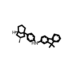 C[C@H]1C[C@@H]2CCCC(c3ccc(Nc4ccc5c(c4)C(C)(C)c4ccccc4-5)cc3)(C1)C2